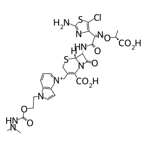 C[C@H](O/N=C(\C(=O)N[C@@H]1C(=O)N2C(C(=O)O)=C(C[n+]3cccc4c3ccn4CCOC(=O)NN(C)C)CS[C@H]12)c1nc(N)sc1Cl)C(=O)O